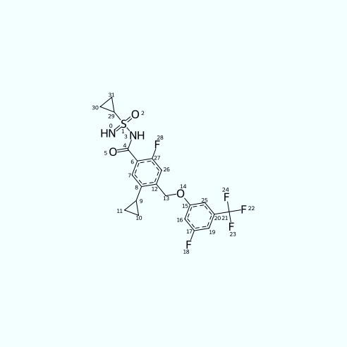 N=S(=O)(NC(=O)c1cc(C2CC2)c(COc2cc(F)cc(C(F)(F)F)c2)cc1F)C1CC1